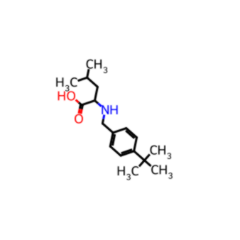 CC(C)CC(NCc1ccc(C(C)(C)C)cc1)C(=O)O